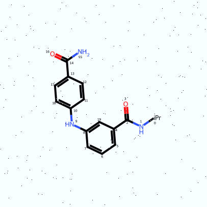 CC(C)NC(=O)c1cccc(Nc2ccc(C(N)=O)cc2)c1